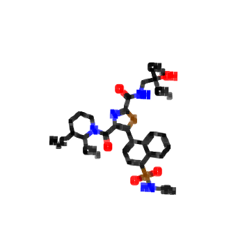 CC1CCCN(C(=O)c2nc(C(=O)NCC(C)(C)O)sc2-c2ccc(S(=O)(=O)NC(C)(C)C)c3ccccc23)C1C